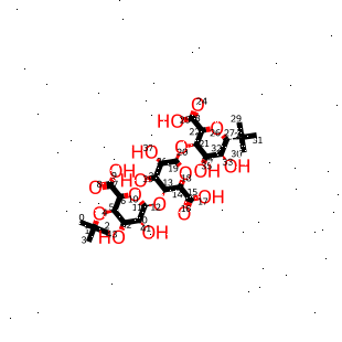 CC(C)(C)O[C@H]1C(C(=O)O)O[C@H](O[C@H]2C(C(=O)O)O[C@H](O[C@H]3C(C(=O)O)O[C@H](C(C)(C)C)[C@H](O)C3O)[C@H](O)C2O)[C@H](O)C1O